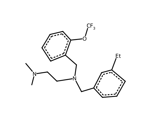 CCc1cccc(CN(CCN(C)C)Cc2ccccc2OC(F)(F)F)c1